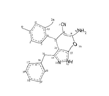 Cc1ccc(C2C(C#N)=C(N)Oc3[nH]nc(Cc4ccccc4)c32)c(C)c1